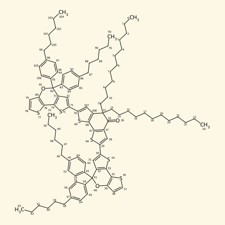 CCCCCCCCCCCCC1(CCCCCCCCCCCC)C(=O)c2cc(-c3cc4c(s3)-c3sccc3OC4(c3ccc(CCCCCC)cc3)c3ccc(CCCCCC)cc3)sc2-c2sc(-c3cc4c(s3)-c3sccc3OC4(c3ccc(CCCCCC)cc3)c3ccc(CCCCCC)cc3)cc21